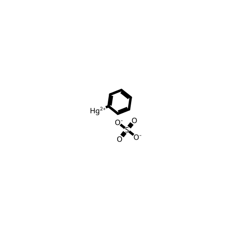 O=S(=O)([O-])[O-].[Hg+2][c]1ccccc1